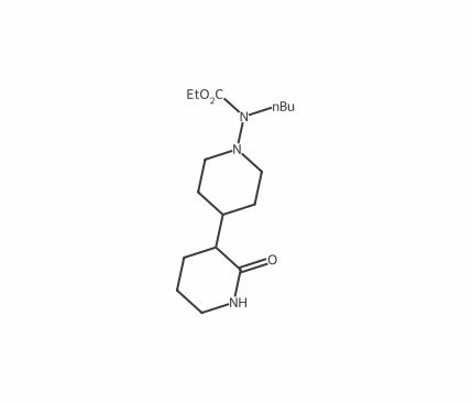 CCCCN(C(=O)OCC)N1CCC(C2CCCNC2=O)CC1